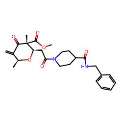 C=C1C(=O)[C@](C)(C(=O)OC)[C@@H](CC(=O)N2CCC(C(=O)NCc3ccccc3)CC2)O[C@H]1C